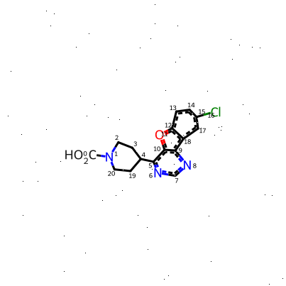 O=C(O)N1CCC(c2ncnc3c2oc2ccc(Cl)cc23)CC1